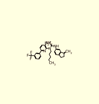 C=C1CCc2ccc(NC(=C)N(CCCCC)c3nc(-c4cccc(C(F)(F)F)c4)ccc3N)cc21